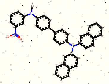 CN(c1ccc(-c2ccc(N(c3ccc4ccccc4c3)c3ccc4ccccc4c3)cc2)cc1)c1cccc([N+](=O)[O-])c1